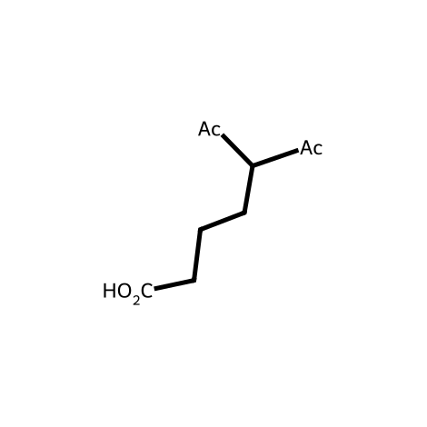 CC(=O)C(CCCC(=O)O)C(C)=O